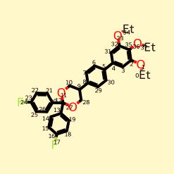 CCOc1cc(-c2ccc(C3COC(c4ccc(F)cc4)(c4ccc(F)cc4)OC3)cc2)cc(OCC)c1OCC